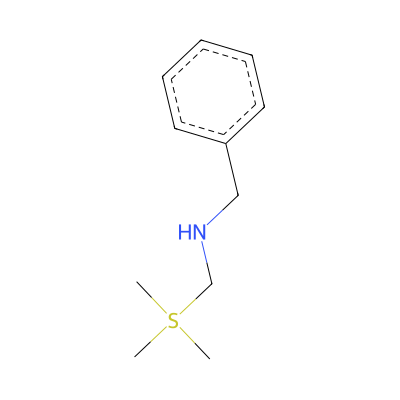 CS(C)(C)CNCc1ccccc1